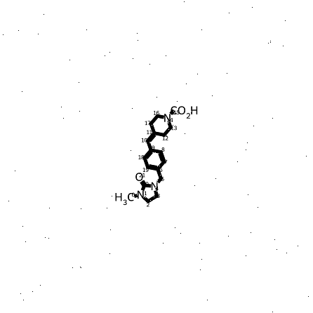 CN1CCN(Cc2ccc(C=C3CCN(C(=O)O)CC3)cc2)C1=O